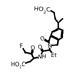 CCC(C(=O)NC(CC(=O)O)C(=O)CF)N1Cc2ccc(C(C)CCC(=O)O)cc2C1=O